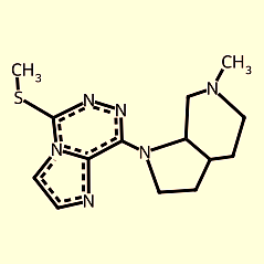 CSc1nnc(N2CCC3CCN(C)CC32)c2nccn12